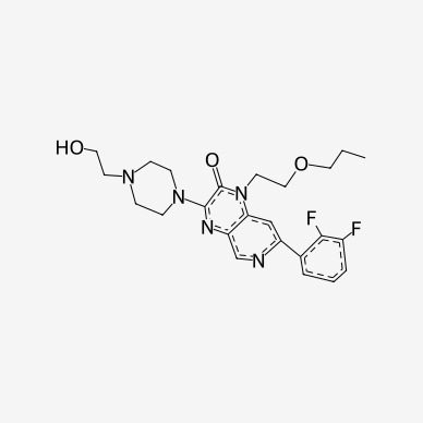 CCCOCCn1c(=O)c(N2CCN(CCO)CC2)nc2cnc(-c3cccc(F)c3F)cc21